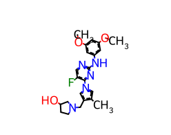 COc1cc(Nc2ncc(F)c(-n3cc(C)c(CN4CCC(O)C4)c3)n2)cc(OC)c1